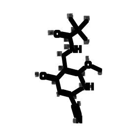 COc1[nH]c(C#N)cc(=O)c1CNC(=O)C(C)(C)C